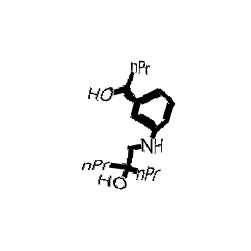 CCCC(O)c1cccc(NCC(O)(CCC)CCC)c1